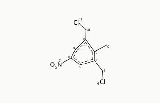 Cc1c(CCl)cc([N+](=O)[O-])cc1CCl